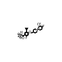 CS(=O)(=O)NC(=O)c1cc(C2CC2)c(OCC2CCN(N3CCC(F)C(C(F)(F)F)C3)CC2)cc1F